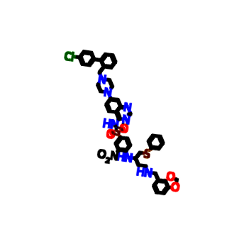 O=[N+]([O-])c1cc(S(=O)(=O)Nc2ncnc3cc(N4CCN(Cc5ccccc5-c5ccc(Cl)cc5)CC4)ccc23)ccc1NC(CCNCc1cccc2c1OCO2)CSc1ccccc1